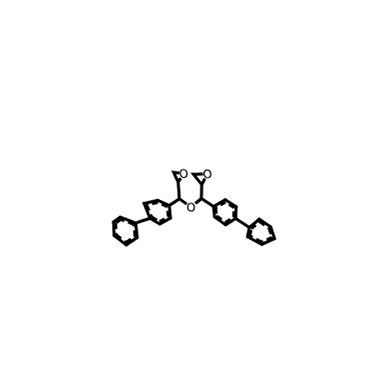 c1ccc(-c2ccc(C(OC(c3ccc(-c4ccccc4)cc3)C3CO3)C3CO3)cc2)cc1